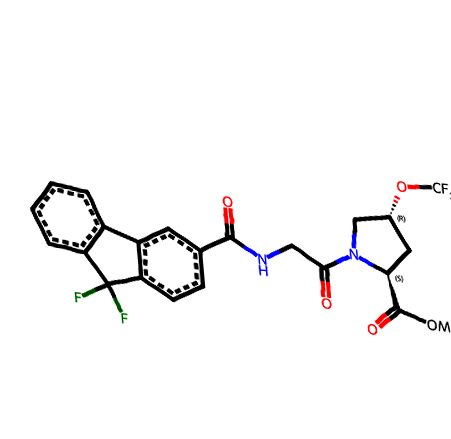 COC(=O)[C@@H]1C[C@@H](OC(F)(F)F)CN1C(=O)CNC(=O)c1ccc2c(c1)-c1ccccc1C2(F)F